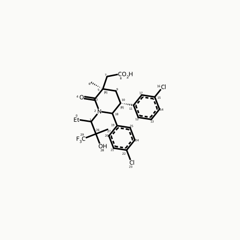 CCC(N1C(=O)[C@@](C)(CC(=O)O)C[C@H](c2cccc(Cl)c2)C1c1ccc(Cl)cc1)C(C)(O)C(F)(F)F